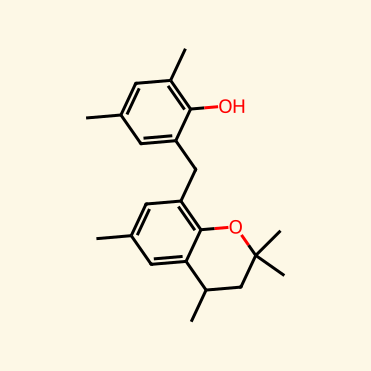 Cc1cc(C)c(O)c(Cc2cc(C)cc3c2OC(C)(C)CC3C)c1